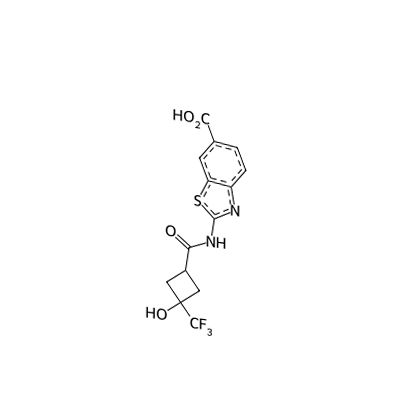 O=C(O)c1ccc2nc(NC(=O)C3CC(O)(C(F)(F)F)C3)sc2c1